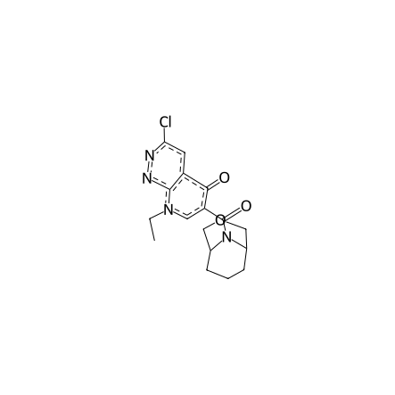 CCn1cc(C(=O)N2C3CCCC2COC3)c(=O)c2cc(Cl)nnc21